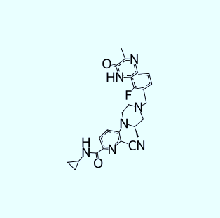 Cc1nc2ccc(CN3CCN(c4ccc(C(=O)NC5CC5)nc4C#N)[C@H](C)C3)c(F)c2[nH]c1=O